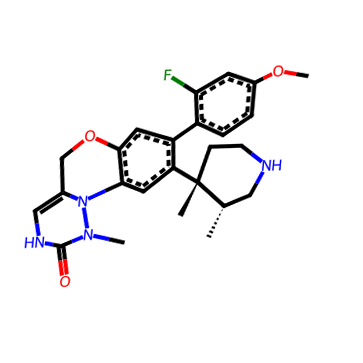 COc1ccc(-c2cc3c(cc2[C@]2(C)CCNC[C@@H]2C)N2C(=CNC(=O)N2C)CO3)c(F)c1